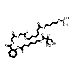 CCC(CO)(CO)C(=O)OCCCCCC(=O)Oc1ccccc1C(=O)OCC(=O)OCC(=O)OCCCCCC(=O)OCCCCON(O)O